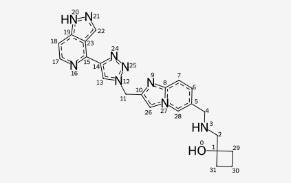 OC1(CNCc2ccc3nc(Cn4cc(-c5nccc6[nH]ncc56)nn4)cn3c2)CCC1